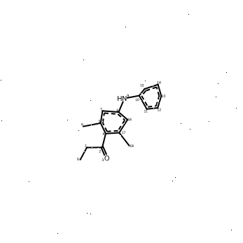 CCC(=O)c1c(C)cc(Nc2ccccc2)cc1C